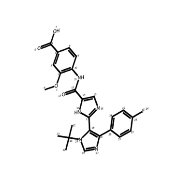 COc1cc(C(=O)O)ccc1NC(=O)c1cnc(-c2c(-c3ccc(F)cc3)ncn2C(C)(C)C)[nH]1